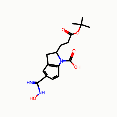 CC(C)(C)OC(=O)CCC1Cc2cc(C(=N)NO)ccc2N1C(=O)O